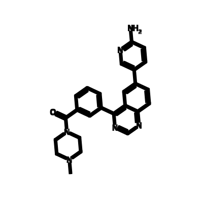 CN1CCN(C(=O)c2cccc(-c3ncnc4ccc(-c5ccc(N)nc5)cc34)c2)CC1